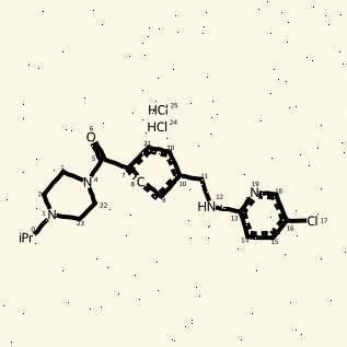 CC(C)N1CCN(C(=O)c2ccc(CNc3ccc(Cl)cn3)cc2)CC1.Cl.Cl